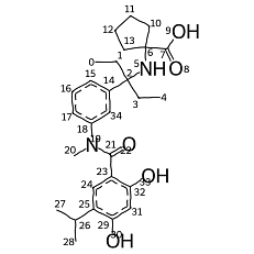 CCC(CC)(NC1(C(=O)O)CCCC1)c1cccc(N(C)C(=O)c2cc(C(C)C)c(O)cc2O)c1